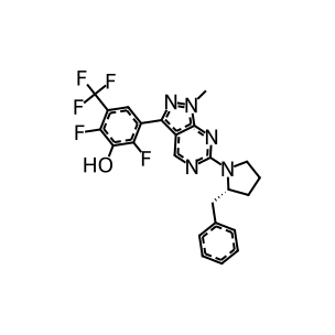 Cn1nc(-c2cc(C(F)(F)F)c(F)c(O)c2F)c2cnc(N3CCC[C@@H]3Cc3ccccc3)nc21